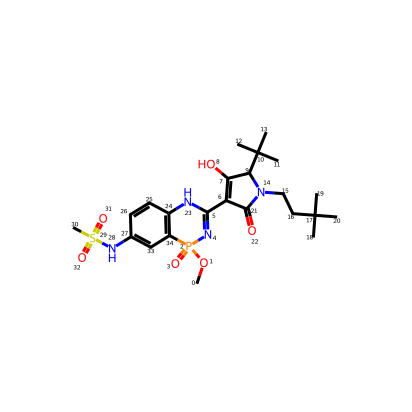 COP1(=O)N=C(C2=C(O)C(C(C)(C)C)N(CCC(C)(C)C)C2=O)Nc2ccc(NS(C)(=O)=O)cc21